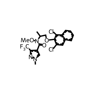 CON(C(=O)c1cn(C)nc1C(F)(F)F)C(C)COc1c(Cl)cc2ccccc2c1Cl